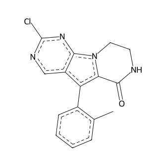 Cc1ccccc1-c1c2n(c3nc(Cl)ncc13)CCNC2=O